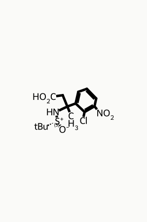 CC(CC(=O)O)(N[S@+]([O-])C(C)(C)C)c1cccc([N+](=O)[O-])c1Cl